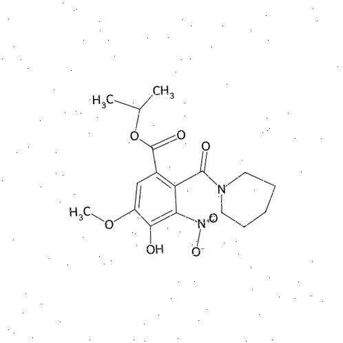 COc1cc(C(=O)OC(C)C)c(C(=O)N2CCCCC2)c([N+](=O)[O-])c1O